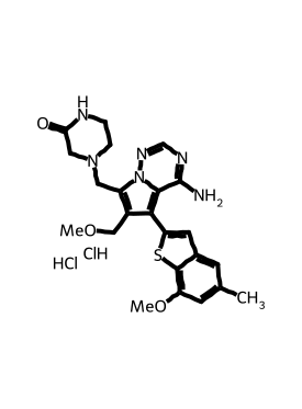 COCc1c(-c2cc3cc(C)cc(OC)c3s2)c2c(N)ncnn2c1CN1CCNC(=O)C1.Cl.Cl